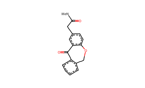 CNC(=O)Cc1ccc2c(c1)C(=O)c1ccccc1CO2